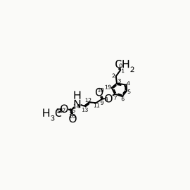 C=CCc1cccc(OC(=O)C/C=C/NC(=O)OC)c1